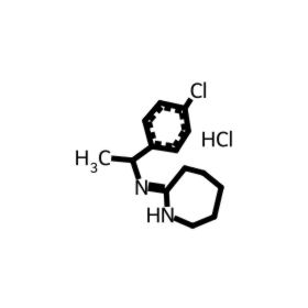 CC(N=C1CCCCCN1)c1ccc(Cl)cc1.Cl